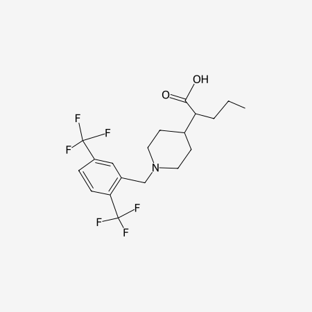 CCCC(C(=O)O)C1CCN(Cc2cc(C(F)(F)F)ccc2C(F)(F)F)CC1